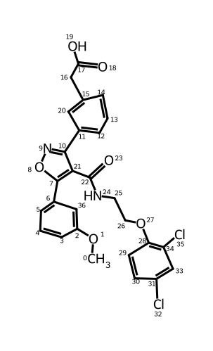 COc1cccc(-c2onc(-c3cccc(CC(=O)O)c3)c2C(=O)NCCOc2ccc(Cl)cc2Cl)c1